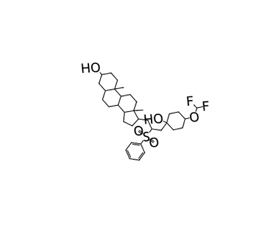 CC12CCC(O)CC1CCC1C2CCC2(C)C(CC(CC3(O)CCC(OC(F)F)CC3)S(=O)(=O)c3ccccc3)CCC12